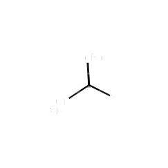 [AlH3].[CH2]C(C)C(CC)CCCC